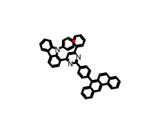 c1ccc(-c2cc(-c3cccc4c5ccccc5n(-c5ccccc5)c34)nc(-c3ccc(-c4c5ccccc5cc5c4ccc4ccccc45)cc3)n2)cc1